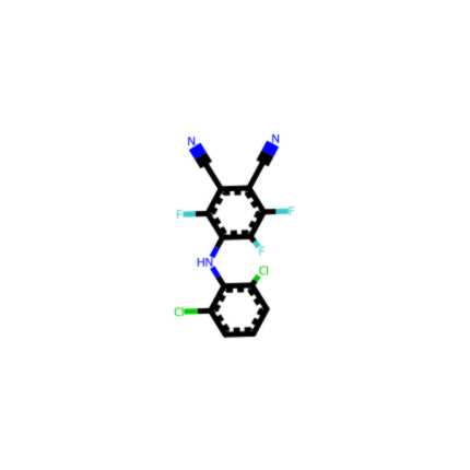 N#Cc1c(F)c(F)c(Nc2c(Cl)cccc2Cl)c(F)c1C#N